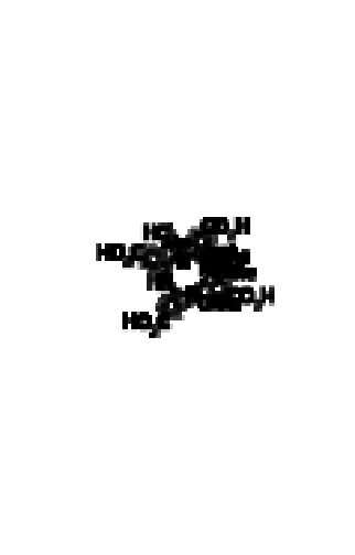 COC1=Cc2nc1c(-c1ccc(C(=O)O)cc1)c1c(OC)c(OC)c(c(-c3ccc(C(=O)O)c[c]3[Mn])c3nc(c(-c4ccc(C(=O)O)cc4)c4ccc([nH]4)c2-c2ccc(C(=O)O)cc2)C=C3)n1OC.Cl.Cl.Cl